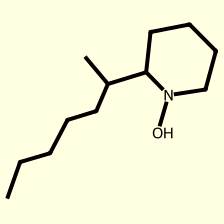 CCCCCC(C)C1CCCCN1O